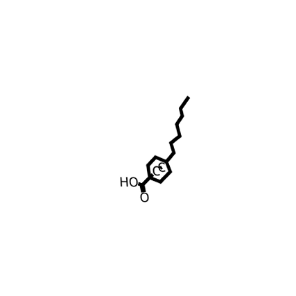 CCCCCCCC12CCC(C(=O)O)(CC1)CC2